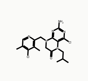 Cc1cnc(CN2CC(=O)N(CC(C)C)c3c(Cl)nc(N)nc32)c(C)c1Cl